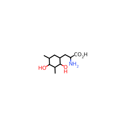 CC1CC(CC(N)C(=O)O)C(O)C(C)C1O